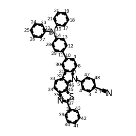 N#Cc1ccc(-n2c3ccc(-c4ccc(N(c5ccccc5)c5ccccc5)cc4)cc3c3ccc4nc(-c5ccccc5)sc4c32)cc1